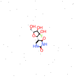 O=c1[nH]cc([C@@H]2O[C@H](CO)[C@@H](O)[C@]2(O)F)c(=O)[nH]1